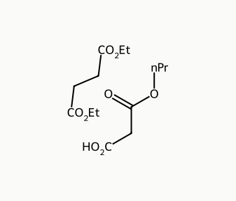 CCCOC(=O)CC(=O)O.CCOC(=O)CCC(=O)OCC